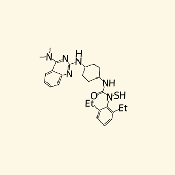 CCc1cccc(CC)c1N(S)C(=O)NC1CCC(Nc2nc(N(C)C)c3ccccc3n2)CC1